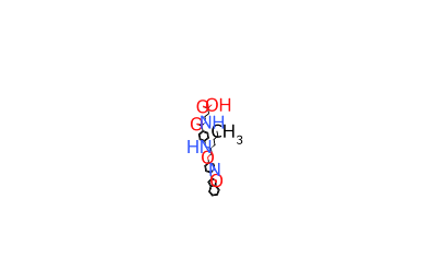 CCCC[C@@H](COc1ccc(-c2cc3ccccc3o2)nc1)Nc1ccc(C(=O)NCCC(=O)O)cc1